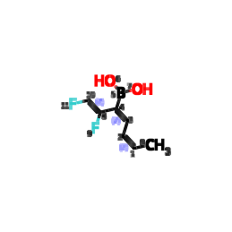 C\C=C/C=C(B(O)O)\C(F)=C\F